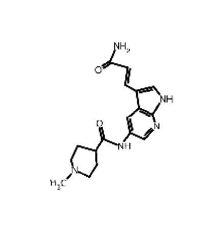 CN1CCC(C(=O)Nc2cnc3[nH]cc(/C=C/C(N)=O)c3c2)CC1